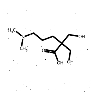 CN(C)CCCC(CO)(CO)C(=O)O